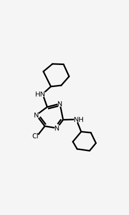 Clc1nc(NC2CCCCC2)nc(NC2CCCCC2)n1